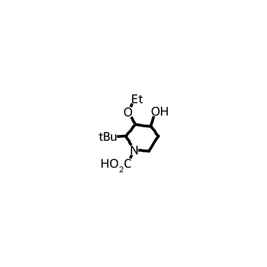 CCOC1C(O)CCN(C(=O)O)C1C(C)(C)C